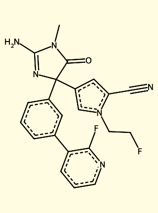 CN1C(=O)C(c2cccc(-c3cccnc3F)c2)(c2cc(C#N)n(CCF)c2)N=C1N